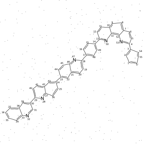 c1ccc(-c2ccc3ccc4ccc(-c5ccc(-c6ccc7cc(-c8ccc9nc(-c%10cnc%11ccccc%11c%10)ccc9c8)ccc7n6)cc5)nc4c3n2)cc1